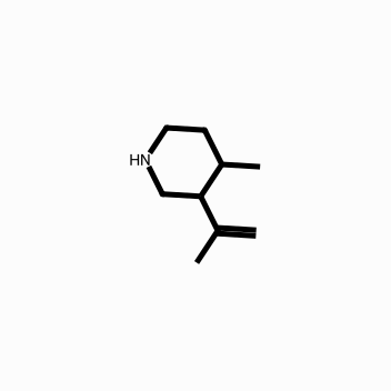 C=C(C)C1CNCCC1C